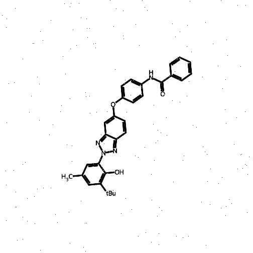 Cc1cc(-n2nc3ccc(Oc4ccc(NC(=O)c5ccccc5)cc4)cc3n2)c(O)c(C(C)(C)C)c1